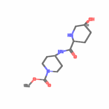 CC(C)(C)OC(=O)N1CCC(NC(=O)C2CC[C@H](O)CN2)CC1